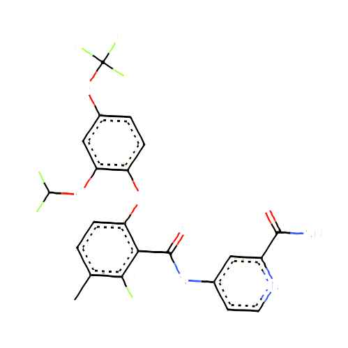 Cc1ccc(Oc2ccc(OC(F)(F)F)cc2OC(F)F)c(C(=O)Nc2ccnc(C(N)=O)c2)c1F